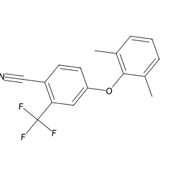 Cc1cccc(C)c1Oc1ccc(C#N)c(C(F)(F)F)c1